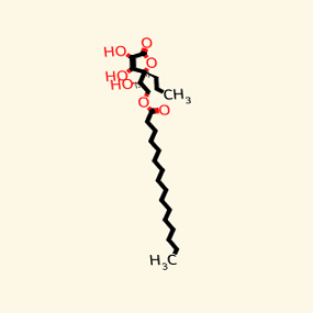 CCCCCCCCCCCCCCCC(=O)OC[C@H](O)[C@@]1(CCC)OC(=O)C(O)=C1O